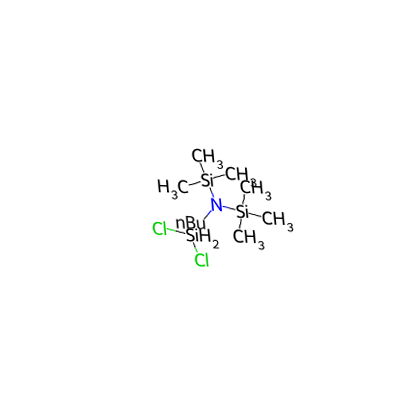 CCCCN([Si](C)(C)C)[Si](C)(C)C.Cl[SiH2]Cl